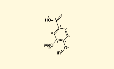 C=C(O)c1ccc(OC(C)C)c(OC)c1